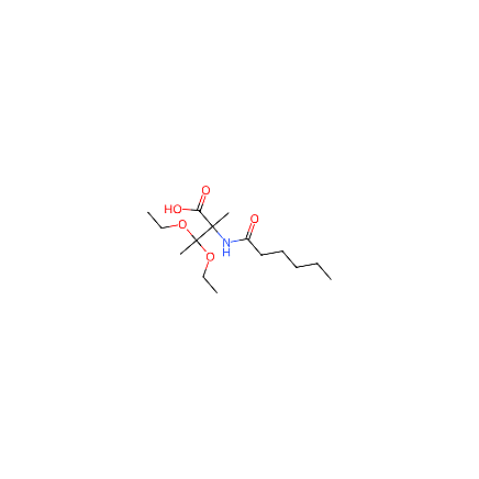 CCCCCC(=O)NC(C)(C(=O)O)C(C)(OCC)OCC